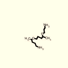 CC(CCCN)OCCCC(C)OCCCN